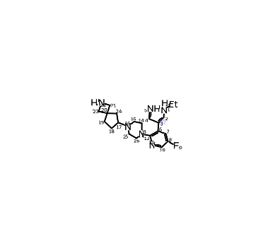 CCN/C=C(\C=N)c1cc(F)cnc1N1CCN(C2CCC3(CNC3)C2)CC1